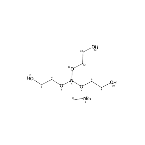 CCCCC.OCCON(OCCO)OCCO